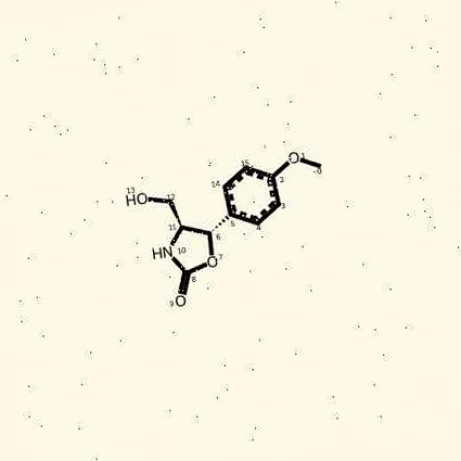 COc1ccc([C@@H]2OC(=O)N[C@H]2CO)cc1